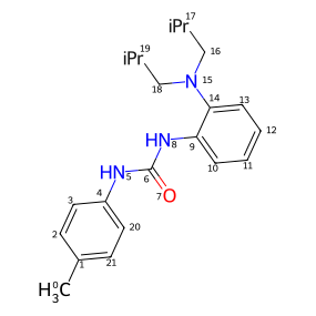 Cc1ccc(NC(=O)Nc2ccccc2N(CC(C)C)CC(C)C)cc1